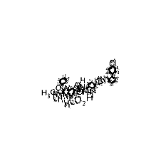 CN(C)CC[C@H](CSc1ccccc1)Nc1c(C(=O)O)cc(S(=O)(=O)Nc2ncnc3cc(N4CCN(Cc5ccccc5-c5ccc(Cl)cc5)CC4)ccc23)cc1[N+](=O)[O-]